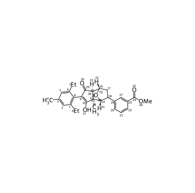 CCc1cc(C)cc(CC)c1C1=C(O)[C@]2(C)[C@@H]3O[C@@H](CC3c3cccc(C(=O)OC)c3)[C@@H]2C1=O